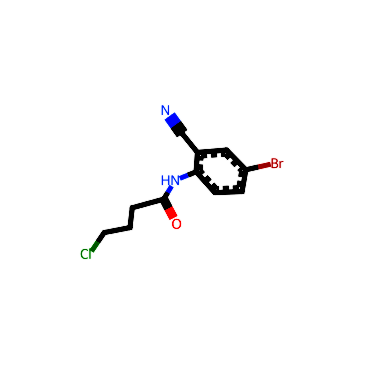 N#Cc1cc(Br)ccc1NC(=O)CCCCl